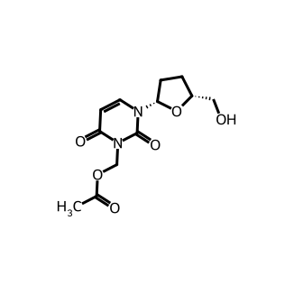 CC(=O)OCn1c(=O)ccn([C@@H]2CC[C@H](CO)O2)c1=O